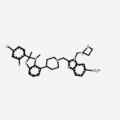 CN1c2c(cccc2C2CCN(Cc3nc4ccc(C(=O)O)cc4n3C[C@@H]3CCO3)CC2)SC1(C)c1ccc(Cl)cc1F